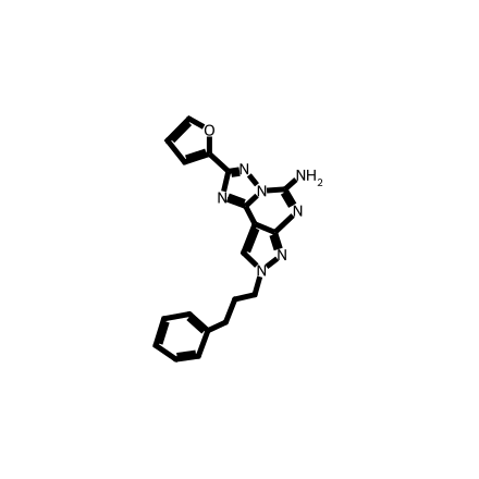 Nc1nc2nn(CCCc3ccccc3)cc2c2nc(-c3ccco3)nn12